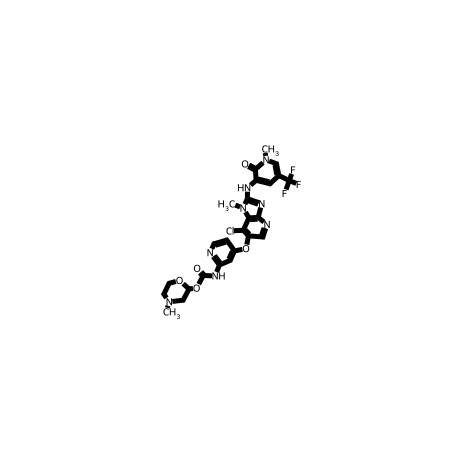 CN1CCOC(OC(=O)Nc2cc(Oc3cnc4nc(Nc5cc(C(F)(F)F)cn(C)c5=O)n(C)c4c3Cl)ccn2)C1